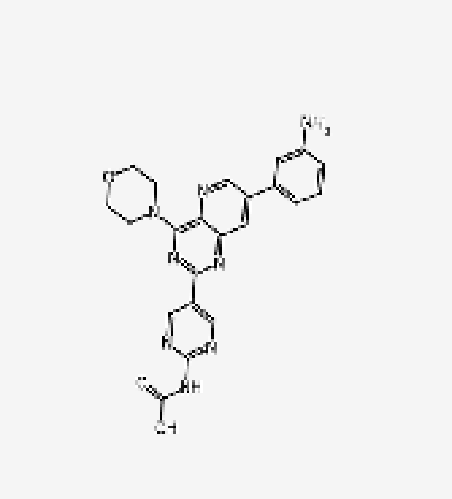 Nc1cccc(-c2cnc3c(N4CCOCC4)nc(-c4cnc(NC(=O)O)nc4)nc3c2)c1